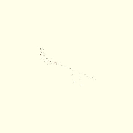 CCc1c2c(nc3ccc(O)cc13)-c1cc3c(c(=O)n1C2)COC(=O)[C@@]3(CC)OC(=O)CNC(=O)COCCOCC(COCC(COCCOCC(=O)O)OCCOCC(C)=O)OCCOCC(=O)O